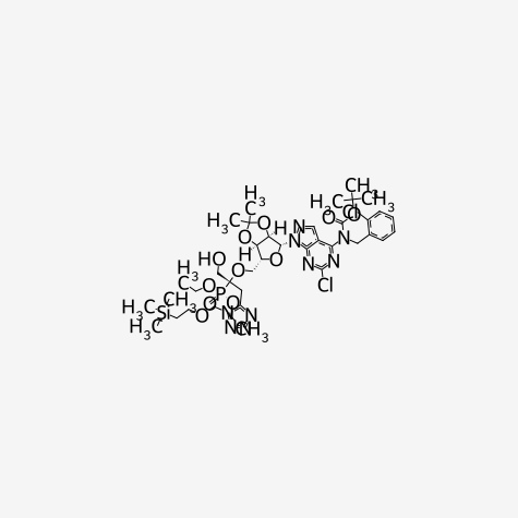 CCOP(=O)(OCC)[C@@](CO)(Cc1nnnn1COCC[Si](C)(C)C)OC[C@H]1O[C@@H](n2ncc3c(N(Cc4ccccc4Cl)C(=O)OC(C)(C)C)nc(Cl)nc32)[C@@H]2OC(C)(C)O[C@@H]21